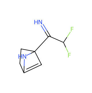 N=C(C(F)F)C12C=C(CC1)N2